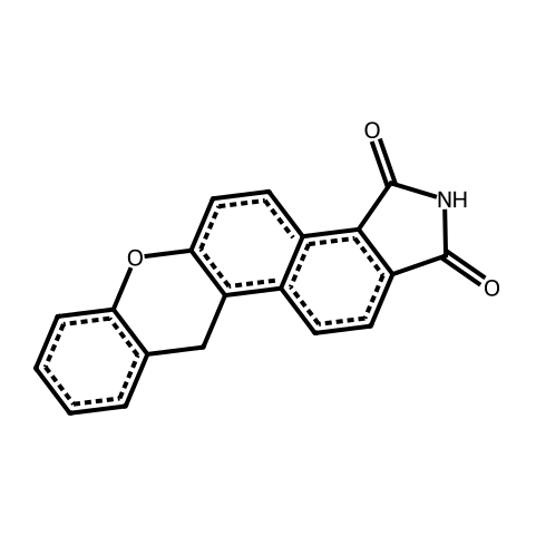 O=C1NC(=O)c2c1ccc1c3c(ccc21)Oc1ccccc1C3